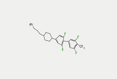 CC(C)CCCC1CCC(c2cc(F)c(-c3cc(F)c(C(F)(F)F)c(F)c3)c(F)c2)CC1